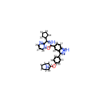 CN1C2CCC1CC(Oc1ccc(-c3n[nH]c4ccc(C(=O)NC(c5ncccn5)C5CCCC5)cc34)cc1)C2